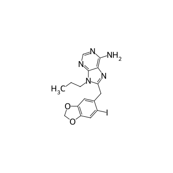 CCCn1c(Cc2cc3c(cc2I)OCO3)nc2c(N)ncnc21